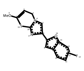 COC1=CCn2cc(-c3cc4ccc(F)cc4o3)nc2S1